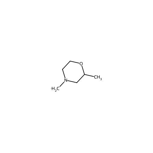 [CH2]N1CCOC(C)C1